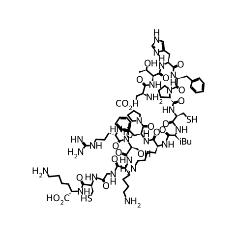 CC[C@H](C)[C@H](NC(=O)[C@H](CS)NC(=O)[C@@H]1CCCN1C(=O)[C@H](Cc1ccccc1)NC(=O)[C@H](Cc1c[nH]cn1)NC(=O)[C@@H](NC(=O)[C@@H](N)CC(=O)O)[C@@H](C)O)C(=O)N[C@@H](CCCCN)C(=O)N[C@@H](Cc1ccccc1)C(=O)N1CCC[C@H]1C(=O)N[C@@H](CCCNC(=N)N)C(=O)N[C@@H](CO)C(=O)N[C@@H](CCCCN)C(=O)NCC(=O)N[C@@H](CS)C(=O)N[C@@H](CCCCN)C(=O)O